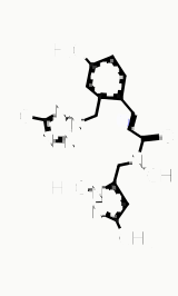 Cc1cc(CN(C)C(=O)/C=C/c2ccc(C(F)(F)F)cc2Cn2nnc(C)n2)n(C)n1